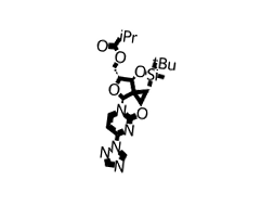 CC(C)C(=O)OC[C@H]1O[C@@H](n2ccc(-n3cncn3)nc2=O)C2(CC2)[C@@H]1O[Si](C)(C)C(C)(C)C